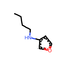 CCCCNc1[c]occ1